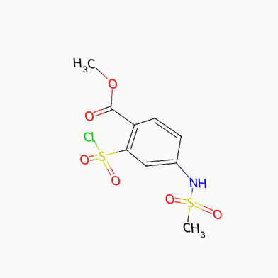 COC(=O)c1ccc(NS(C)(=O)=O)cc1S(=O)(=O)Cl